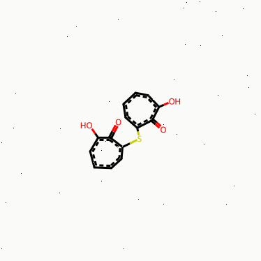 O=c1c(O)ccccc1Sc1ccccc(O)c1=O